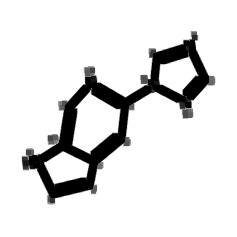 c1ncn(-c2cc3cc[nH]c3cn2)n1